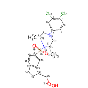 C[C@@H]1CN(c2ccc(Cl)c(Cl)c2)C[C@H](C)N1S(=O)(=O)c1ccc2c(c1)C(COO)CC2